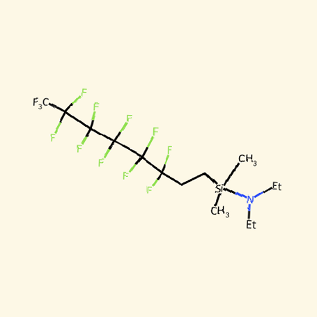 CCN(CC)[Si](C)(C)CCC(F)(F)C(F)(F)C(F)(F)C(F)(F)C(F)(F)C(F)(F)F